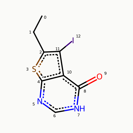 CCc1sc2nc[nH]c(=O)c2c1I